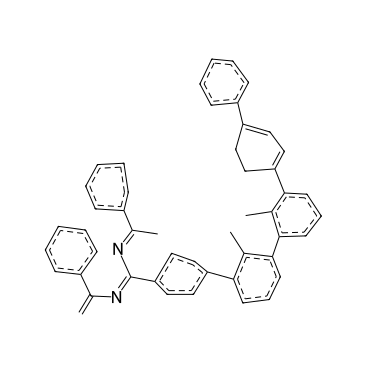 C=C(/N=C(\N=C(/C)c1ccccc1)c1ccc(-c2cccc(-c3cccc(C4=CC=C(c5ccccc5)CC4)c3C)c2C)cc1)c1ccccc1